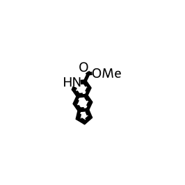 COC(=O)c1cc2cc3cccc3cc2c[nH]1